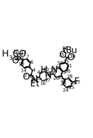 CCN(C(=O)Cc1ccc(S(C)(=O)=O)cc1)C1CCN(CCC(c2cccc(F)c2)c2ccc(C(=O)OC(C)(C)C)cc2N)CC1